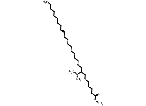 CCCCCCCCC=CCCCCCCCCOCC(COCCCCC(=O)OC)N(C)C